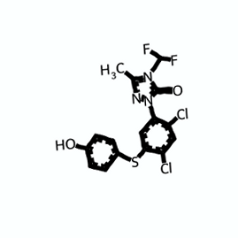 Cc1nn(-c2cc(Sc3ccc(O)cc3)c(Cl)cc2Cl)c(=O)n1C(F)F